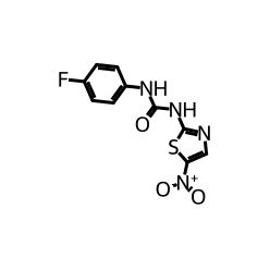 O=C(Nc1ccc(F)cc1)Nc1ncc([N+](=O)[O-])s1